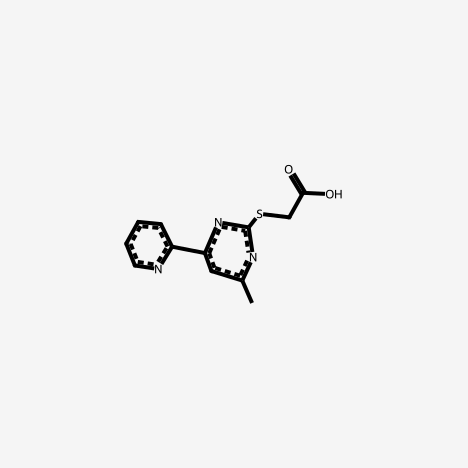 Cc1cc(-c2ccccn2)nc(SCC(=O)O)n1